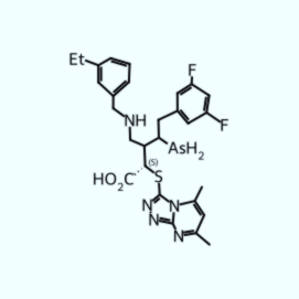 CCc1cccc(CNCC(C([AsH2])Cc2cc(F)cc(F)c2)[C@H](Sc2nnc3nc(C)cc(C)n23)C(=O)O)c1